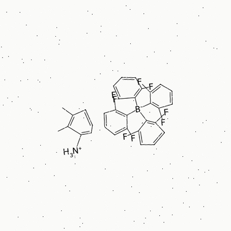 Cc1cccc([NH3+])c1C.Fc1cccc(F)c1[B-](c1c(F)cccc1F)(c1c(F)cccc1F)c1c(F)cccc1F